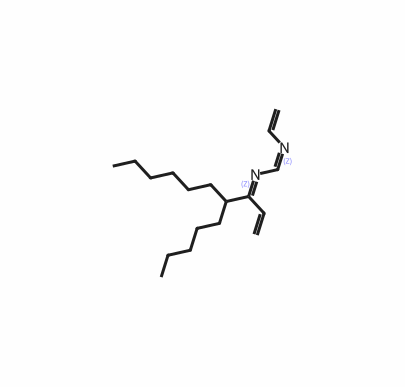 C=C/N=C\N=C(/C=C)C(CCCCC)CCCCCC